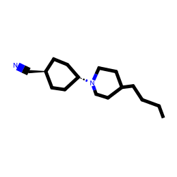 CCCCC1CCN([C@H]2CC[C@H](C#N)CC2)CC1